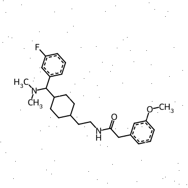 COc1cccc(CC(=O)NCCC2CCC(C(c3cccc(F)c3)N(C)C)CC2)c1